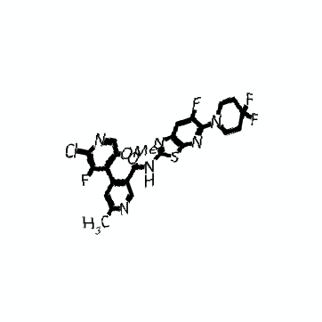 COc1cnc(Cl)c(F)c1-c1cc(C)ncc1C(=O)Nc1nc2cc(F)c(N3CCC(F)(F)CC3)nc2s1